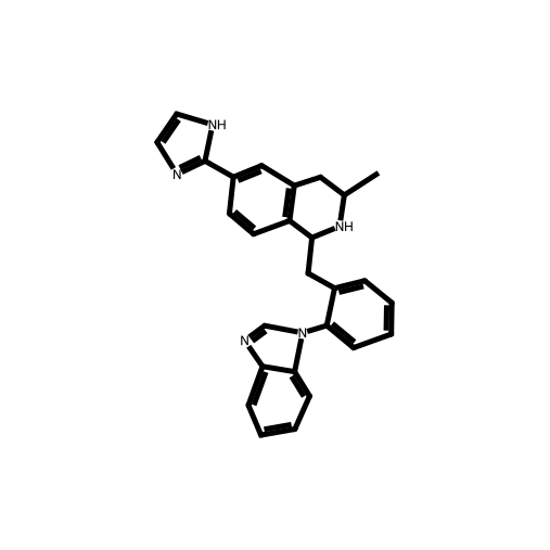 CC1Cc2cc(-c3ncc[nH]3)ccc2C(Cc2ccccc2-n2cnc3ccccc32)N1